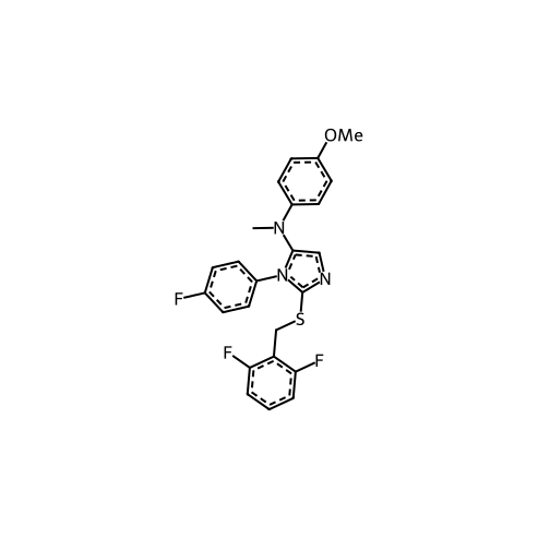 COc1ccc(N(C)c2cnc(SCc3c(F)cccc3F)n2-c2ccc(F)cc2)cc1